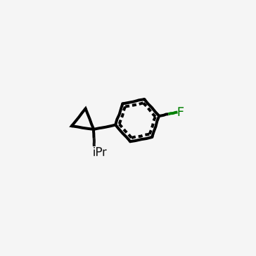 CC(C)C1(c2ccc(F)cc2)CC1